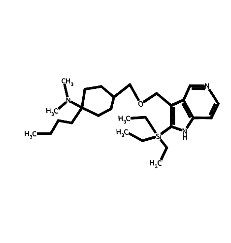 CCCCC1(N(C)C)CCC(COCc2c([Si](CC)(CC)CC)[nH]c3ccncc23)CC1